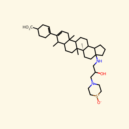 CC1C(C2=CCC(C(=O)O)CC2)=CCC2(C)C1CCC1(C)C2CCC2C3CCCC3(NCC(O)CN3CC[S+]([O-])CC3)CC[C@]21C